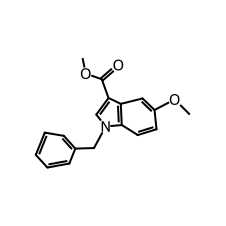 COC(=O)c1cn(Cc2ccccc2)c2ccc(OC)cc12